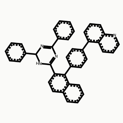 c1ccc(C2=NC(c3ccccc3)NC(c3ccc4ccccc4c3-c3ccc(-c4cccc5ncccc45)cc3)=N2)cc1